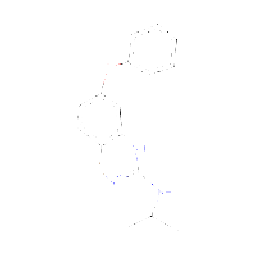 CC(C)NC1=NSc2ccc(Oc3ccccc3)cc2N1